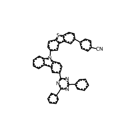 N#Cc1ccc(-c2ccc3sc4ccc(-n5c6ccccc6c6cc(-c7nc(-c8ccccc8)nc(-c8ccccc8)n7)ccc65)cc4c3c2)cc1